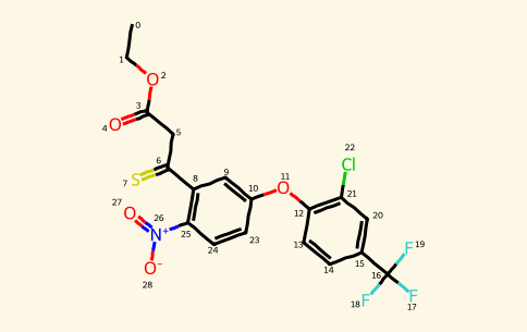 CCOC(=O)CC(=S)c1cc(Oc2ccc(C(F)(F)F)cc2Cl)ccc1[N+](=O)[O-]